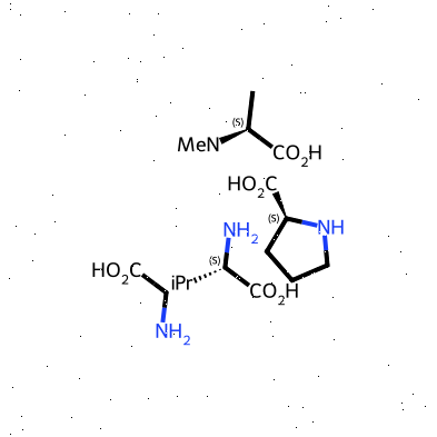 CC(C)[C@H](N)C(=O)O.CN[C@@H](C)C(=O)O.NCC(=O)O.O=C(O)[C@@H]1CCCN1